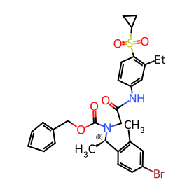 CCc1cc(NC(=O)CN(C(=O)OCc2ccccc2)[C@H](C)c2ccc(Br)cc2C)ccc1S(=O)(=O)C1CC1